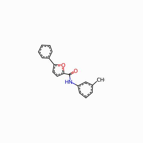 [CH]c1cccc(NC(=O)c2ccc(-c3ccccc3)o2)c1